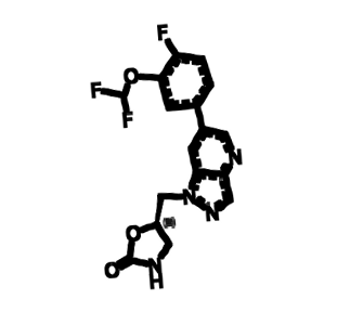 O=C1NC[C@H](Cn2ncc3ncc(-c4ccc(F)c(OC(F)F)c4)cc32)O1